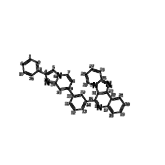 c1ccc(-c2cn3ccc(-c4cccc(-c5nc6ccccc6c6nc7ccccn7c56)c4)cc3n2)cc1